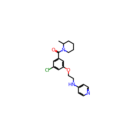 CC1CCCCN1C(=O)c1cc(Cl)cc(OCCNc2ccncc2)c1